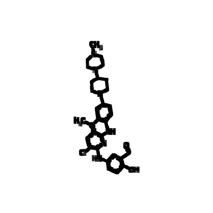 COc1cc(N2CCC(N3CCN(C)CC3)CC2)ccc1Nc1ncc(Cl)c(Nc2ccc(O)c(C=O)c2)n1